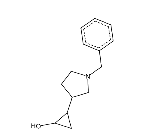 OC1CC1C1CCN(Cc2ccccc2)C1